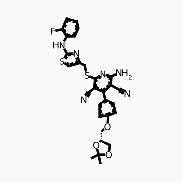 CC1(C)OC[C@@H](COc2ccc(-c3c(C#N)c(N)nc(SCc4csc(Nc5ccccc5F)n4)c3C#N)cc2)O1